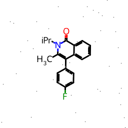 Cc1c(-c2ccc(F)cc2)c2ccccc2c(=O)n1C(C)C